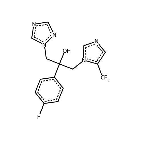 OC(Cn1cncn1)(Cn1cncc1C(F)(F)F)c1ccc(F)cc1